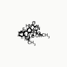 CCOC(O)([PH2]=O)c1nnc2c(=O)[nH]c3cc(C(F)(F)F)c(-n4cc(C)nc4-c4ccccc4)cc3n12